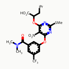 CSc1nc(Oc2cc(C(=O)N(C)C)cc(C(F)(F)F)c2)c([N+](=O)[O-])c(OC(CC(C)C)C(=O)O)n1